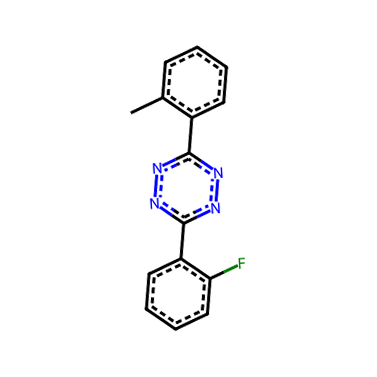 Cc1ccccc1-c1nnc(-c2ccccc2F)nn1